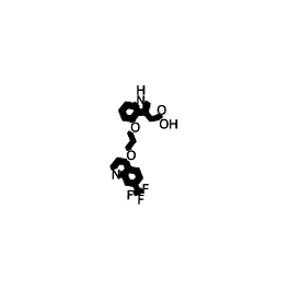 O=C(O)Cc1c[nH]c2cccc(OCCCOc3ccnc4cc(C(F)(F)F)ccc34)c12